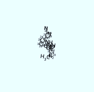 CN1CCC2CN(S(=O)(=O)NC(=O)Nc3c(-c4ccnc(C#N)c4)ccc4c3CCC4)CC21